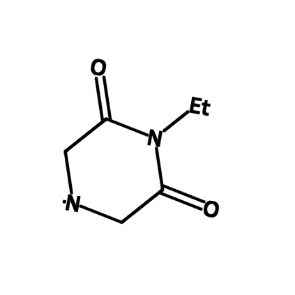 CCN1C(=O)C[N]CC1=O